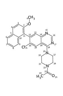 COc1ccc2ccccc2c1-c1cc2ncnc(N3CCN(C(C)=O)CC3)c2cc1Cl